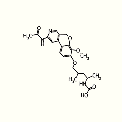 COc1c(OCC(C)CC(C)NC(=O)O)ccc2c1OCc1cnc(NC(C)=O)cc1-2